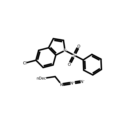 CCCCCCCCCCCN=[N+]=[N-].O=S(=O)(c1ccccc1)n1ccc2cc(Cl)ccc21